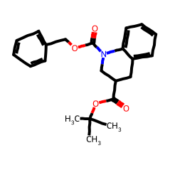 CC(C)(C)OC(=O)C1Cc2ccccc2N(C(=O)OCc2ccccc2)C1